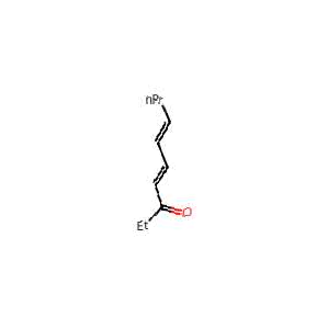 CCCC=CC=CC(=O)CC